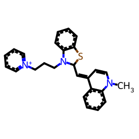 CN1C=CC(=CC2Sc3ccccc3N2CCC[n+]2ccccc2)c2ccccc21